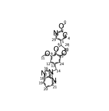 COc1ccc(C2Oc3c(OC)cc(Cn4cnc5cccnc54)cc3O[C@H]2C)cn1